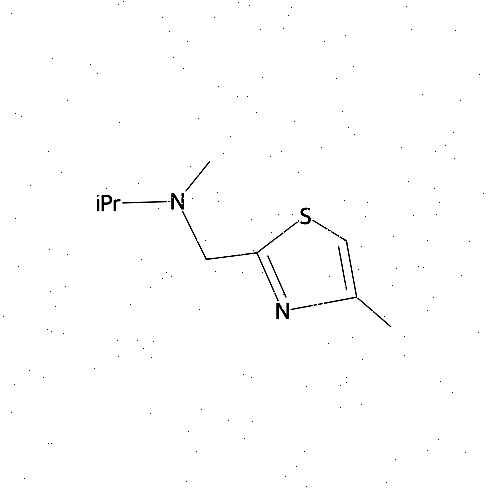 Cc1csc(CN(C)C(C)C)n1